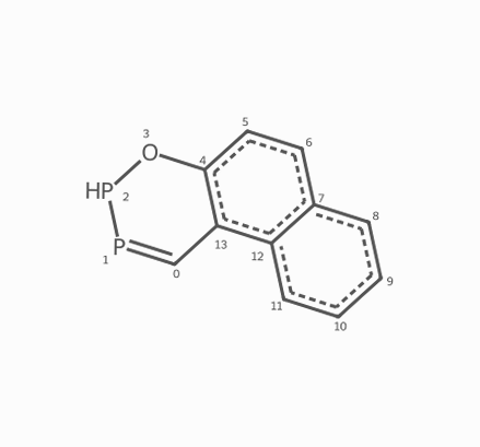 C1=PPOc2ccc3ccccc3c21